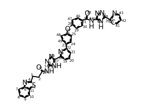 O=C(CCc1nc2ccccc2s1)Nc1nnc(-c2cccc(-c3ccc(Oc4ccc(C(=O)Nc5nnc(-c6ccccn6)[nH]5)cc4)cc3)n2)[nH]1